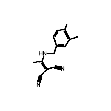 CC(NCc1ccc(C)c(C)c1)=C(C#N)C#N